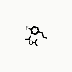 CC(C)OC(C)C.CCCc1ccc(F)cc1